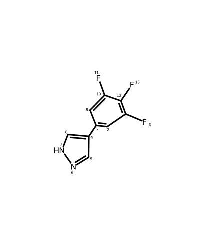 Fc1cc(-c2cn[nH]c2)cc(F)c1F